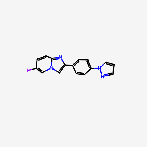 Ic1ccc2nc(-c3ccc(-n4cccn4)cc3)cn2c1